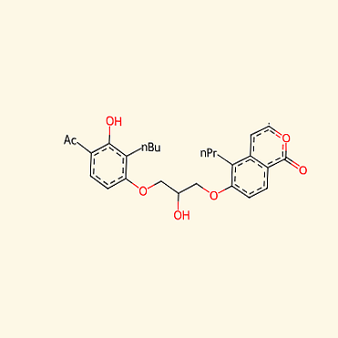 CCCCc1c(OCC(O)COc2ccc3c(=O)o[c]cc3c2CCC)ccc(C(C)=O)c1O